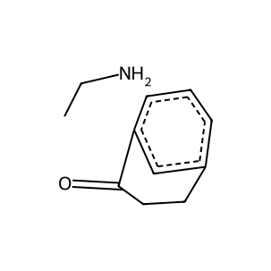 CCN.O=C1CCc2cccc1c2